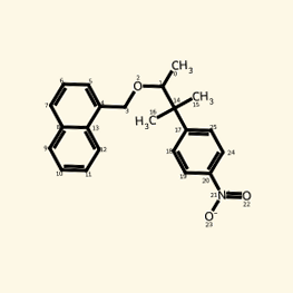 CC(OCc1cccc2ccccc12)C(C)(C)c1ccc([N+](=O)[O-])cc1